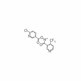 CN(OC(=O)c1ccc(Cl)nc1)C(=O)c1cnccc1C(F)(F)F